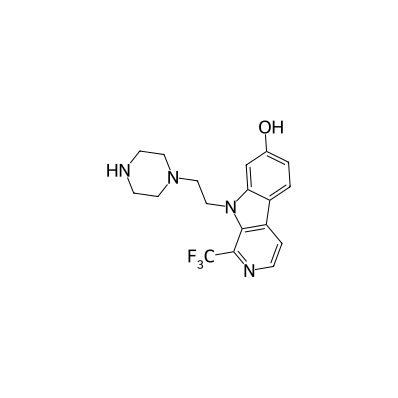 Oc1ccc2c3ccnc(C(F)(F)F)c3n(CCN3CCNCC3)c2c1